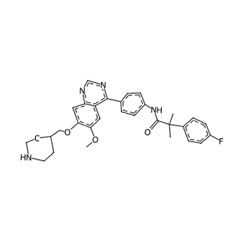 COc1cc2c(-c3ccc(NC(=O)C(C)(C)c4ccc(F)cc4)cc3)ncnc2cc1OCC1CCNCC1